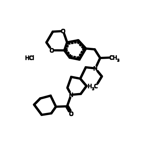 CCN(CC1CCN(C(=O)C2CCCCC2)CC1)C(C)Cc1ccc2c(c1)OCCO2.Cl